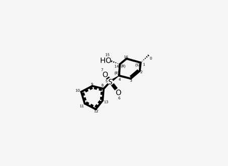 C[C@@H]1C=C[C@@H](S(=O)(=O)c2ccccc2)[C@H](O)C1